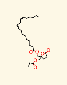 CCCCC/C=C\C/C=C\CCCCCCCC(=O)OCC1(COC(=O)CC)CCC(=O)O1